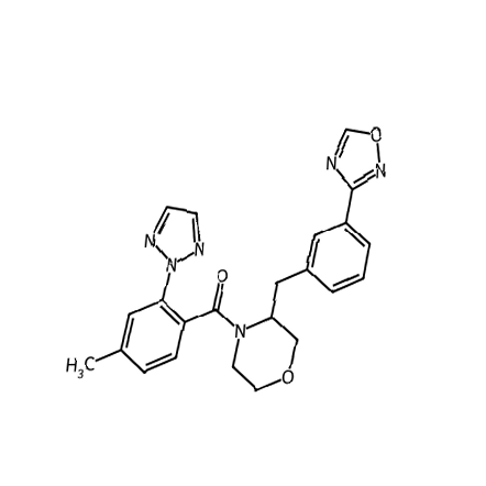 Cc1ccc(C(=O)N2CCOCC2Cc2cccc(-c3ncon3)c2)c(-n2nccn2)c1